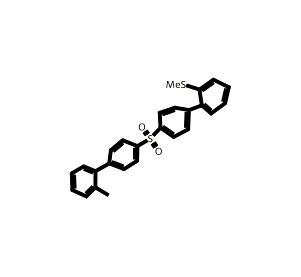 CSc1ccccc1-c1ccc(S(=O)(=O)c2ccc(-c3ccccc3C)cc2)cc1